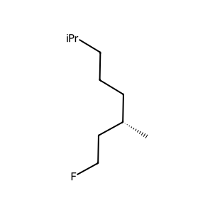 CC(C)CCC[C@H](C)CCF